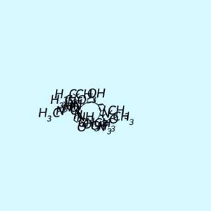 CCn1c(-c2cnccc2COC)c2c3cc(ccc31)-c1cc(O)cc(c1)C[C@H](NC(=O)[C@H](C(C)C)N(C)C(=O)N1CCN(C)CC1)C(=O)N1CCC[C@@](C)(N1)C(=O)OCC(C)(C)C2